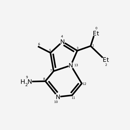 CCC(CC)c1nc(C)c2c(N)nccn12